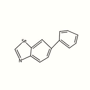 c1ccc(-c2ccc3nc[se]c3c2)cc1